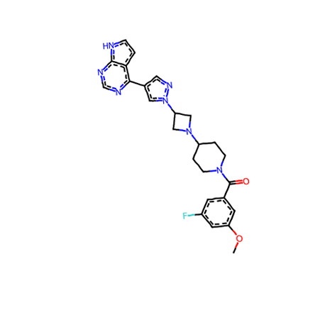 COc1cc(F)cc(C(=O)N2CCC(N3CC(n4cc(-c5ncnc6[nH]ccc56)cn4)C3)CC2)c1